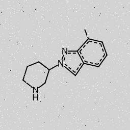 Cc1cccc2cn(C3CCCNC3)nc12